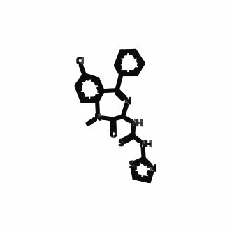 CN1C(=O)C(NC(=S)Nc2nccs2)N=C(c2ccccc2)c2cc(Cl)ccc21